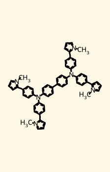 Cn1cccc1-c1ccc(N(c2ccc(-c3ccc(N(c4ccc(-c5cccn5C)cc4)c4ccc(-c5cccn5C)cc4)cc3)cc2)c2ccc(-c3cccn3C)cc2)cc1